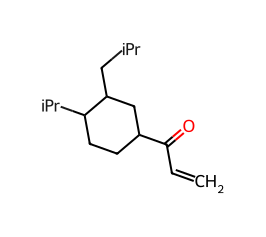 C=CC(=O)C1CCC(C(C)C)C(CC(C)C)C1